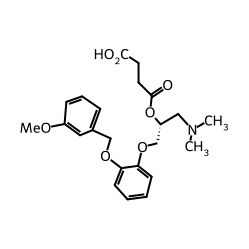 COc1cccc(COc2ccccc2OC[C@@H](CN(C)C)OC(=O)CCC(=O)O)c1